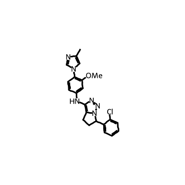 COc1cc(Nc2nnn3c2CCC3c2ccccc2Cl)ccc1-n1cnc(C)c1